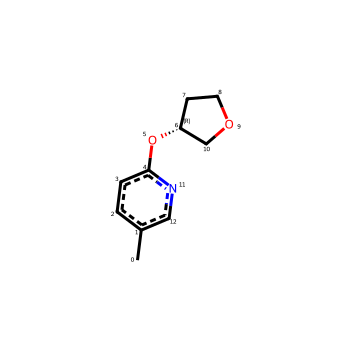 Cc1ccc(O[C@@H]2CCOC2)nc1